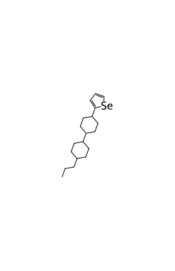 CCCC1CCC(C2CCC(c3ccc[se]3)CC2)CC1